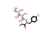 O=C(CI)N(Cc1ccc(Cl)cc1)[12CH2][12CH](O)[12CH](O)[12CH](O)[12CH](O)[12CH2]O